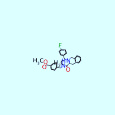 COC(=O)c1ccc(CNC(=O)[C@@H]2Cc3ccccc3CN2[C@H](C)c2ccc(F)cc2)cc1